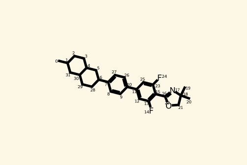 CC1CCC2CC(c3ccc(-c4cc(F)c(C5=NC(C)(C)CO5)c(F)c4)cc3)CCC2C1